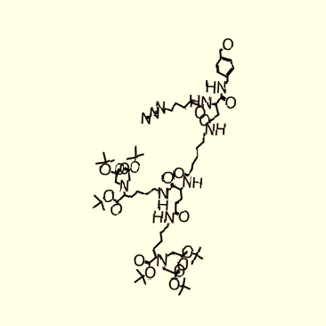 CC(C)(C)OC(=O)CN(CC(=O)OC(C)(C)C)C(CCCCNC(=O)CCC(NC(=O)CCCCCCNC(=O)CC(NC(=O)CCCCN=[N+]=[N-])C(=O)NCc1ccc(C=O)cc1)C(=O)NCCCCC(C(=O)OC(C)(C)C)N(CC(=O)OC(C)(C)C)CC(=O)OC(C)(C)C)C(=O)OC(C)(C)C